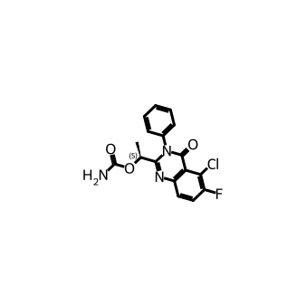 C[C@H](OC(N)=O)c1nc2ccc(F)c(Cl)c2c(=O)n1-c1ccccc1